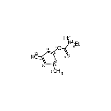 CCN(CC)C(=S)Oc1cc(C)cc(C#N)c1